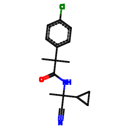 CC(C)(C(=O)NC(C)(C#N)C1CC1)c1ccc(Cl)cc1